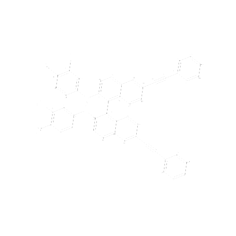 Nc1ccc(Oc2ccc3cc(C#Cc4ccccc4)ccc3c2-c2c(Oc3ccc(N)c(O)c3)ccc3cc(C#Cc4ccccc4)ccc23)cc1O